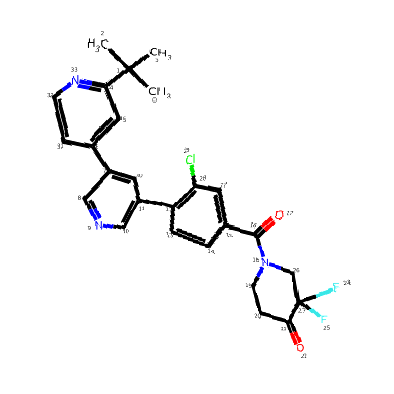 CC(C)(C)c1cc(-c2cncc(-c3ccc(C(=O)N4CCC(=O)C(F)(F)C4)cc3Cl)c2)ccn1